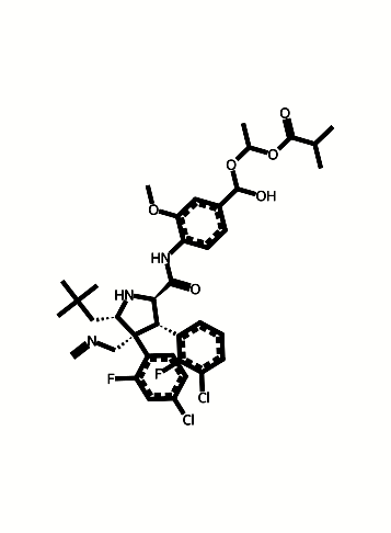 C=NC[C@]1(c2ccc(Cl)cc2F)[C@H](CC(C)(C)C)N[C@@H](C(=O)Nc2ccc(C(O)OC(C)OC(=O)C(C)C)cc2OC)[C@@H]1c1cccc(Cl)c1F